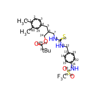 Cc1ccc(CC(CNC(=S)NCc2ccc(NS(=O)(=O)C(F)(F)F)cc2)COC(=O)C(C)(C)C)cc1C